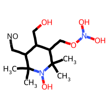 CC1(C)C(CN=O)C(CO)C(CON(O)O)C(C)(C)N1O